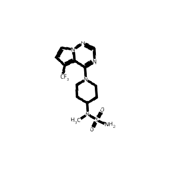 CN(C1CCN(c2ncnn3ccc(C(F)(F)F)c23)CC1)S(N)(=O)=O